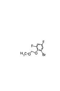 COCOc1c(F)cc(F)cc1Br